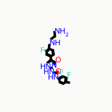 Cc1ccc(NC(=O)Nc2nc(=O)c(-c3ccc(CNCCCN)c(F)c3)c[nH]2)c(F)c1F